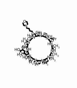 CC[C@@H]1NC(=O)[C@H]([C@H](O)[C@H](C)CC(O)C(C)O)N(C)C(=O)[C@H](C(C)C)N(C)C(=O)[C@H](CC(C)C)N(C)C(=O)[C@H](CC(C)C)N(C)C(=O)[C@@H](C)NC(=O)[C@H](C)NC(=O)[C@H](CC(C)C)N(C)C(=O)[C@H](C(C)C)NC(=O)[C@H]([C@@H](C)OCCCCN2CCOCC2)N(C)C(=O)[C@@H](C)N(C)C1=O